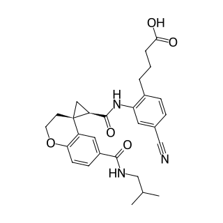 CC(C)CNC(=O)c1ccc2c(c1)[C@]1(CCO2)C[C@H]1C(=O)Nc1cc(C#N)ccc1CCCC(=O)O